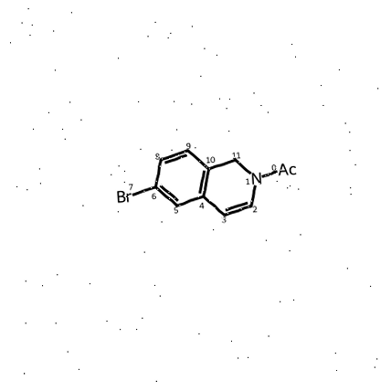 CC(=O)N1C=Cc2cc(Br)ccc2C1